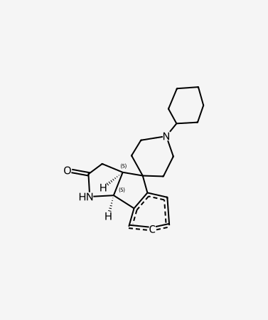 O=C1C[C@@H]2[C@H](N1)c1ccccc1C21CCN(C2CCCCC2)CC1